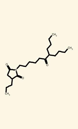 CCCCC(CCCC)C(=O)CCCCCN1C(=O)CC(CCC)C1=O